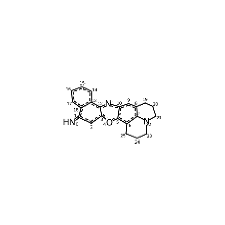 N=c1cc2oc3c4c5c(cc3nc-2c2ccccc12)CCCN5CCC4